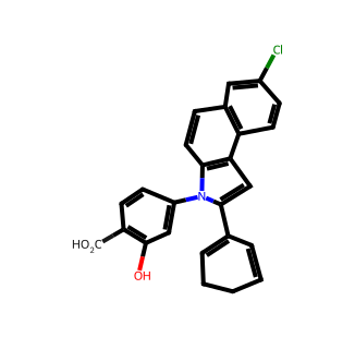 O=C(O)c1ccc(-n2c(C3=CCCC=C3)cc3c4ccc(Cl)cc4ccc32)cc1O